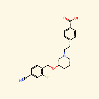 N#Cc1ccc(COC2CCCN(CCc3ccc(C(=O)O)cc3)C2)c(F)c1